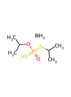 CC(C)OP(=O)(S)SC(C)C.[BiH3]